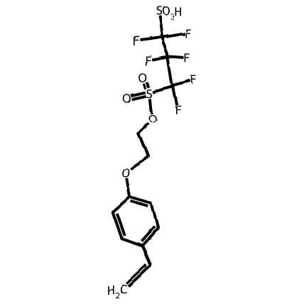 C=Cc1ccc(OCCOS(=O)(=O)C(F)(F)C(F)(F)C(F)(F)S(=O)(=O)O)cc1